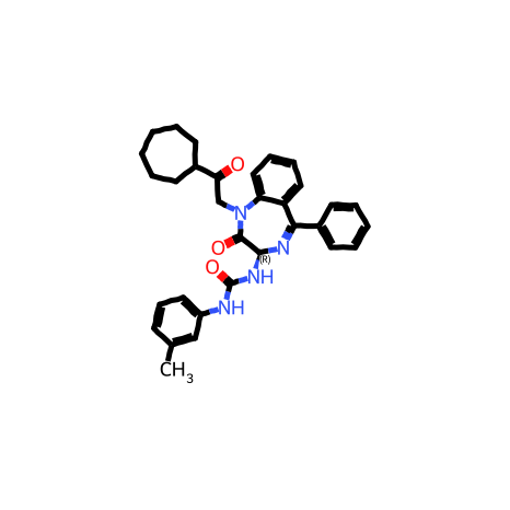 Cc1cccc(NC(=O)N[C@@H]2N=C(c3ccccc3)c3ccccc3N(CC(=O)C3CCCCCC3)C2=O)c1